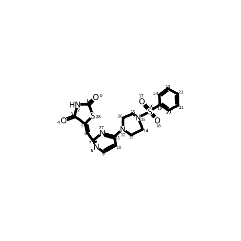 O=C1NC(=O)C(=Cc2nccc(N3CCN(S(=O)(=O)c4ccccc4)CC3)n2)S1